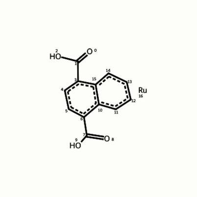 O=C(O)c1ccc(C(=O)O)c2ccccc12.[Ru]